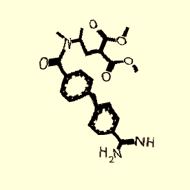 COC(=O)C(CC(C)N(C)C(=O)c1ccc(-c2ccc(C(=N)N)cc2)cc1)C(=O)OC